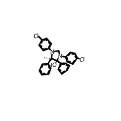 C[C@]1(c2ccccc2)N(c2ccc(Cl)cc2)CN(c2ccc(Cl)cc2)[C@@]1(O)c1ccccc1